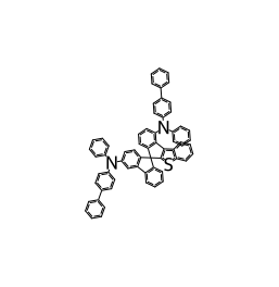 c1ccc(-c2ccc(N(c3ccccc3)c3ccc4c(c3)-c3ccccc3C43c4cccc(N(c5ccccc5)c5ccc(-c6ccccc6)cc5)c4-c4c3sc3ccccc43)cc2)cc1